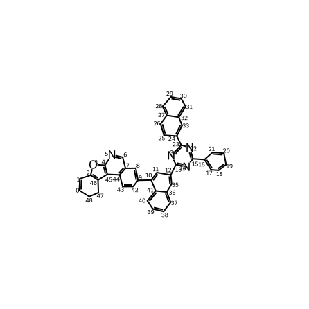 C1=Cc2oc3ncc4cc(-c5cc(-c6nc(-c7ccccc7)nc(-c7ccc8ccccc8c7)n6)cc6ccccc56)ccc4c3c2CC1